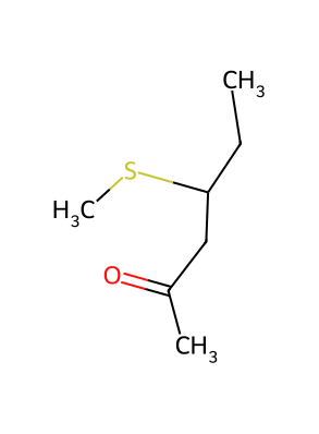 CCC(CC(C)=O)SC